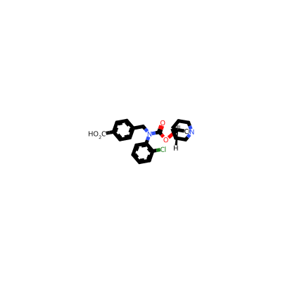 O=C(O)c1ccc(CN(C(=O)O[C@H]2CN3CCC2CC3)c2ccccc2Cl)cc1